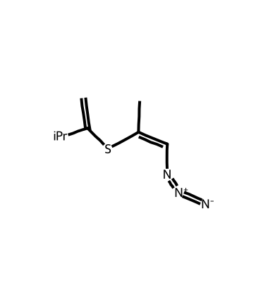 C=C(S/C(C)=C\N=[N+]=[N-])C(C)C